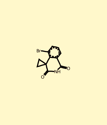 O=C1NC(=O)C2(CC2)c2c(Br)cccc21